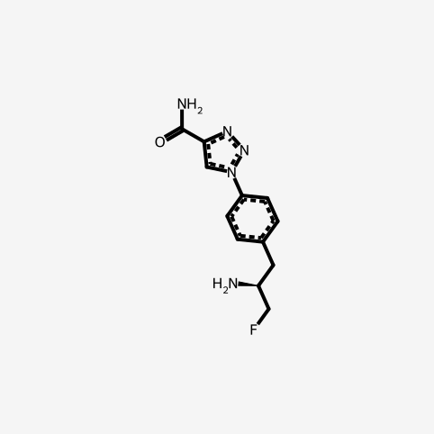 NC(=O)c1cn(-c2ccc(C[C@H](N)CF)cc2)nn1